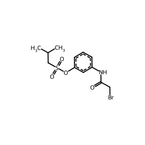 CC(C)CS(=O)(=O)Oc1cccc(NC(=O)CBr)c1